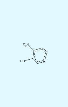 O=[N+]([O-])c1ccncc1O